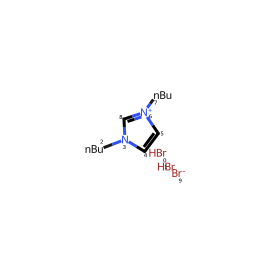 Br.Br.CCCCn1cc[n+](CCCC)c1.[Br-]